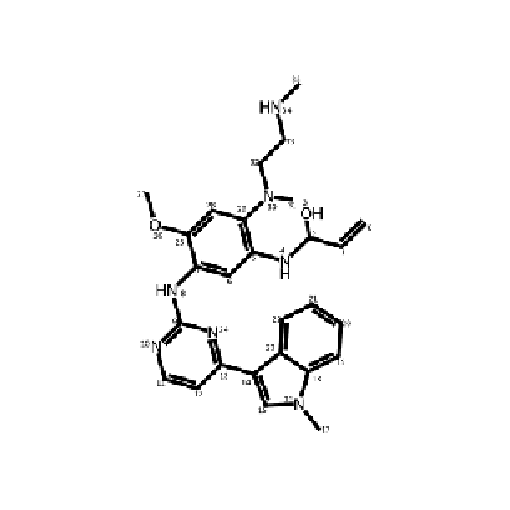 C=CC(O)Nc1cc(Nc2nccc(-c3cn(C)c4ccccc34)n2)c(OC)cc1N(C)CCNC